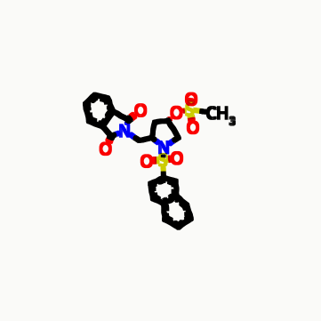 CS(=O)(=O)OC1CC(CN2C(=O)c3ccccc3C2=O)N(S(=O)(=O)c2ccc3ccccc3c2)C1